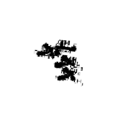 CC(=O)N(NCc1cccc(F)c1Cl)[C@@H](CCC(=O)O)COC(=O)Nc1cc(-c2cccc(F)c2)no1.CC(=O)N(NCc1cccc(F)c1Cl)[C@@H](CNS(C)(=O)=O)COC(=O)Nc1cc2ccccc2cn1.CC(=O)N(NCc1cccc(F)c1Cl)[C@H](COC(=O)Nc1cc2cc(F)ccc2cn1)Cc1c[nH]cn1.CC(=O)N(NCc1cccc(F)c1Cl)[C@H](COC(=O)Nc1cc2cc(F)ccc2cn1)Cc1cn(C)cn1